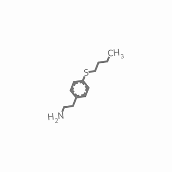 CCCCSc1ccc(CCN)cc1